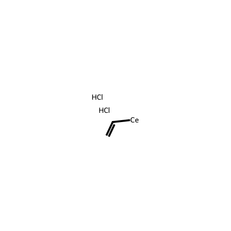 C=[CH][Ce].Cl.Cl